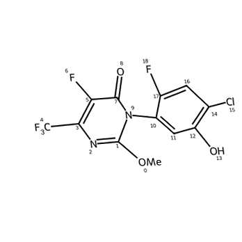 COc1nc(C(F)(F)F)c(F)c(=O)n1-c1cc(O)c(Cl)cc1F